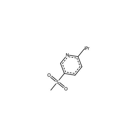 CC(C)c1ccc(S(C)(=O)=O)cn1